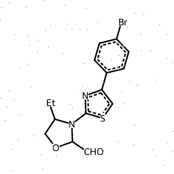 CCC1COC(C=O)N1c1nc(-c2ccc(Br)cc2)cs1